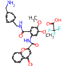 COc1cc(NC(=O)c2cc(=O)c3ccccc3o2)c(C(=O)NCc2ccc(CN)cc2)cc1OC.O=C(O)C(F)(F)F